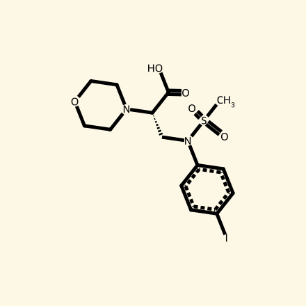 CS(=O)(=O)N(C[C@@H](C(=O)O)N1CCOCC1)c1ccc(I)cc1